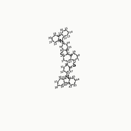 c1cc2c3c(cc4sc5cc(-n6c7ccccc7c7ccccc76)ccc5c4c3c1)-c1ccc(-n3c4ccccc4c4ccccc43)cc1S2